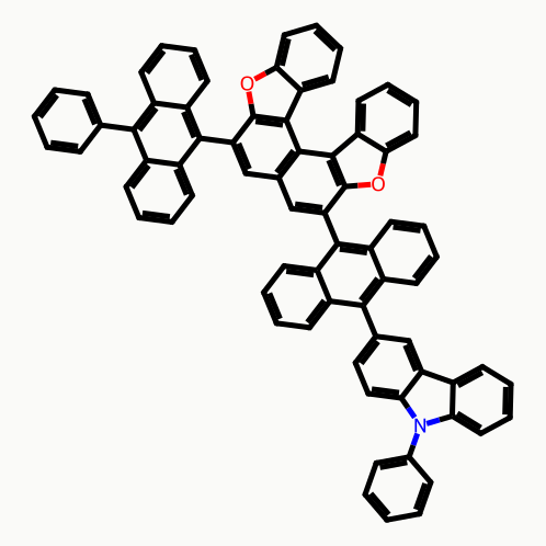 c1ccc(-c2c3ccccc3c(-c3cc4cc(-c5c6ccccc6c(-c6ccc7c(c6)c6ccccc6n7-c6ccccc6)c6ccccc56)c5oc6ccccc6c5c4c4c3oc3ccccc34)c3ccccc23)cc1